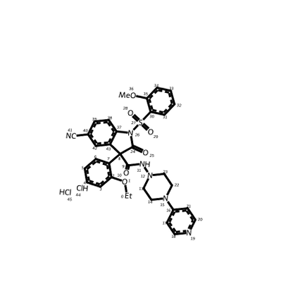 CCOc1ccccc1C1(C(=O)NN2CCN(c3ccncc3)CC2)C(=O)N(S(=O)(=O)c2ccccc2OC)c2ccc(C#N)cc21.Cl.Cl